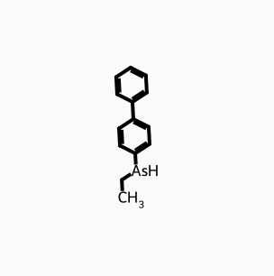 CC[AsH]c1ccc(-c2ccccc2)cc1